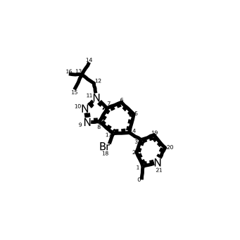 Cc1cc(-c2ccc3c(nnn3CC(C)(C)C)c2Br)ccn1